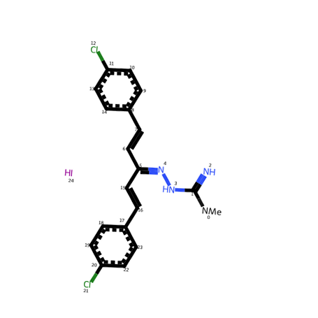 CNC(=N)NN=C(C=Cc1ccc(Cl)cc1)C=Cc1ccc(Cl)cc1.I